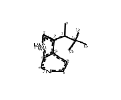 CC(c1c[nH]c2cnccc12)C(C)(C)C